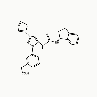 O=C(O)Cc1cccc(-n2nc(-c3cccs3)cc2NC(=O)N[C@H]2CCc3ccccc32)c1